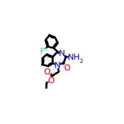 CCOC(=O)CN1C(=O)C(N)N=C(c2ccccc2F)c2ccccc21